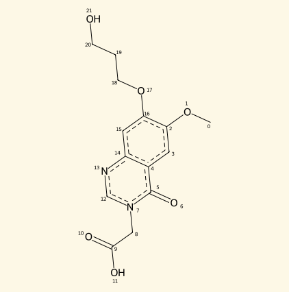 COc1cc2c(=O)n(CC(=O)O)cnc2cc1OCCCO